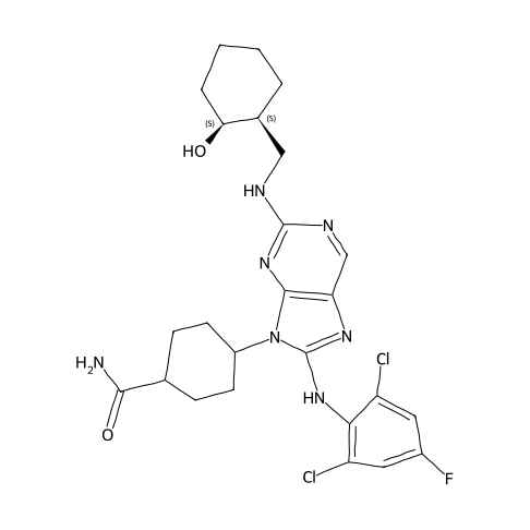 NC(=O)C1CCC(n2c(Nc3c(Cl)cc(F)cc3Cl)nc3cnc(NC[C@@H]4CCCC[C@@H]4O)nc32)CC1